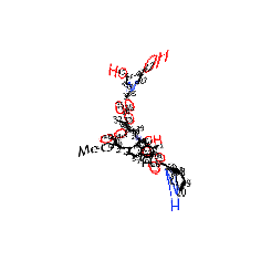 CO[C@H]1CC2C=C[C@]3(C)[C@H]4[C@H](O)[C@@H](C)[C@@H](OC(=O)c5ccc[nH]5)[C@@H]3O[C@@]24/C(C)=C/[C@@H](C)[C@@H]([C@@H](C)OC(=O)OCCN(CCO)CCO)OC1=O